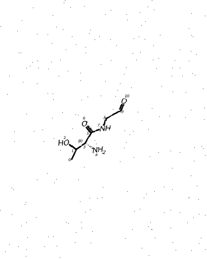 CC(O)[C@@H](N)C(=O)NC[C]=O